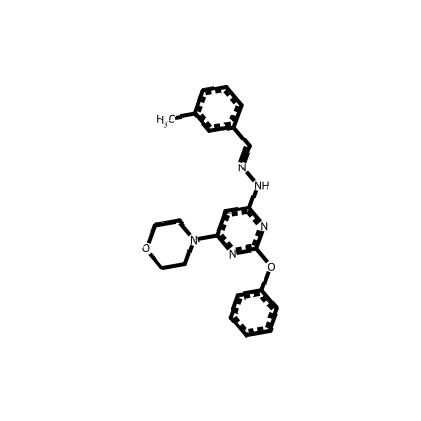 Cc1cccc(C=NNc2cc(N3CCOCC3)nc(Oc3ccccc3)n2)c1